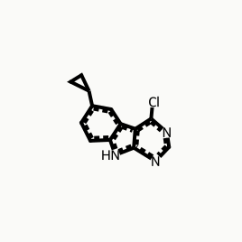 Clc1ncnc2[nH]c3ccc(C4CC4)cc3c12